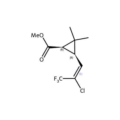 COC(=O)[C@@H]1[C@H](/C=C(/Cl)C(F)(F)F)C1(C)C